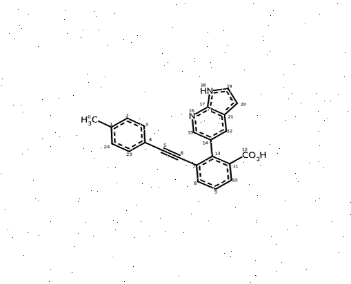 Cc1ccc(C#Cc2cccc(C(=O)O)c2-c2cnc3[nH]ccc3c2)cc1